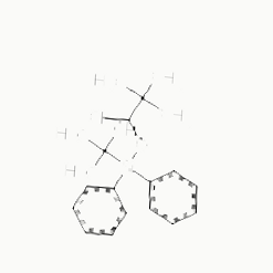 CC(C)(C)C(Cl)O[Si](c1ccccc1)(c1ccccc1)C(C)(C)C